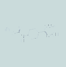 C/N=C(\SC)C1CCC(NC(=O)OC(C)C)CC1